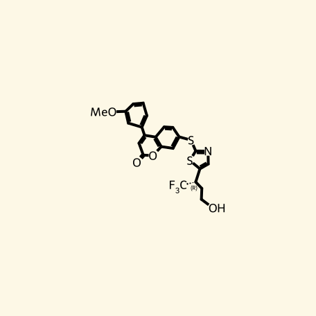 COc1cccc(-c2cc(=O)oc3cc(Sc4ncc([C@H](CCO)C(F)(F)F)s4)ccc23)c1